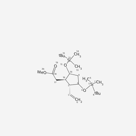 C=C[C@H]1C(O[Si](C)(C)C(C)(C)C)CC(O[Si](C)(C)C(C)(C)C)[C@@H]1CC(=O)OC